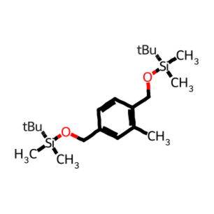 Cc1cc(CO[Si](C)(C)C(C)(C)C)ccc1CO[Si](C)(C)C(C)(C)C